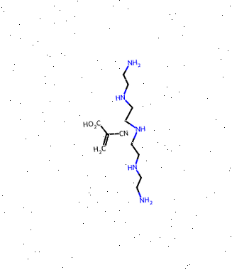 C=C(C#N)C(=O)O.NCCNCCNCCNCCN